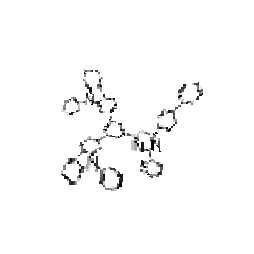 c1ccc(-c2ccc(-c3cc(-c4cc(-c5ccc6c7ccccc7n(-c7ccccc7)c6c5)cc(-c5ccc6c7ccccc7n(-c7ccccc7)c6c5)c4)nc(-c4cccs4)n3)cc2)cc1